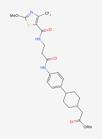 COC(=O)CC1CCC(c2ccc(NC(=O)CCNC(=O)c3sc(OC)nc3C(F)(F)F)cc2)CC1